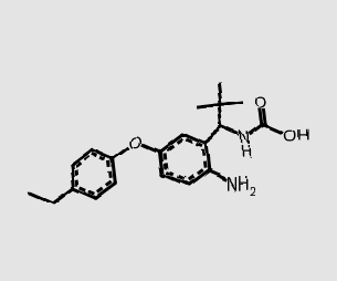 CCc1ccc(Oc2ccc(N)c(C(NC(=O)O)C(C)(C)C)c2)cc1